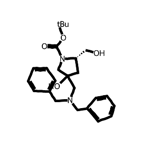 CC(C)(C)OC(=O)N1CC(O)(CN(Cc2ccccc2)Cc2ccccc2)C[C@H]1CO